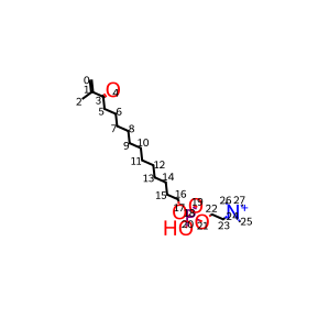 C=C(C)C(=O)CCCCCCCCCCCCOP(=O)(O)OCC[N+](C)(C)C